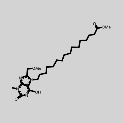 COCc1nc2c(c(O)nc(=O)n2C)n1CCCCCCCCCCCCCCCC(=O)OC